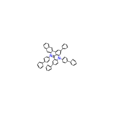 c1ccc(-c2ccc(N3B4c5cc(-c6ccccc6)ccc5N(c5ccc(-c6ccccc6)cc5)c5cc(-c6ccccc6)cc(c54)-c4cc5ccccc5cc43)cc2)cc1